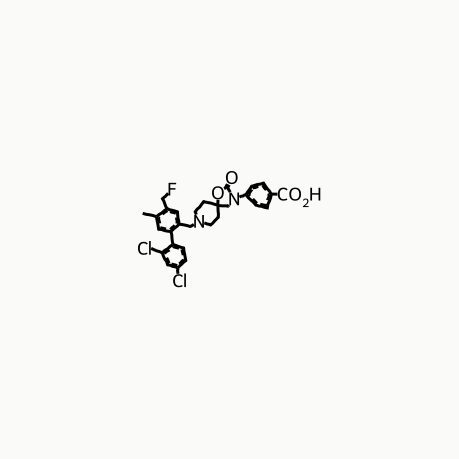 Cc1cc(-c2ccc(Cl)cc2Cl)c(CN2CCC3(CC2)CN(c2ccc(C(=O)O)cc2)C(=O)O3)cc1CF